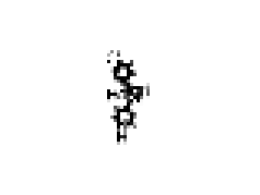 Cl.Cl.Clc1ccc(-c2nnc(C3CCNCC3)[nH]2)cc1